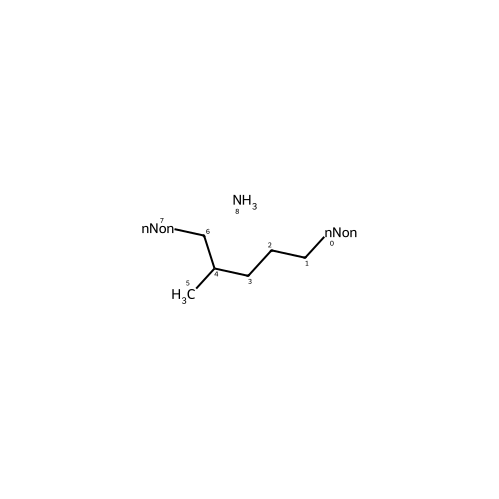 CCCCCCCCCCCCC(C)CCCCCCCCCC.N